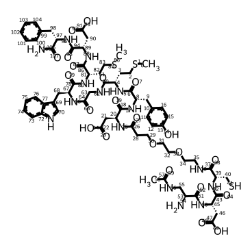 CSCC[C@H](NC(=O)[C@H](Cc1ccc(O)cc1)NC(=O)[C@H](CC(=O)O)NC(=O)CCOCCOCCNC(=O)[C@H](CS)NC(=O)[C@H](CC(=O)O)NC(=O)[C@@H](N)CNC(C)=O)C(=O)NCC(=O)N[C@@H](Cc1c[nH]c2ccccc12)C(=O)N[C@@H](CCSC)C(=O)N[C@@H](CC(=O)O)C(=O)N[C@@H](Cc1ccccc1)C(N)=O